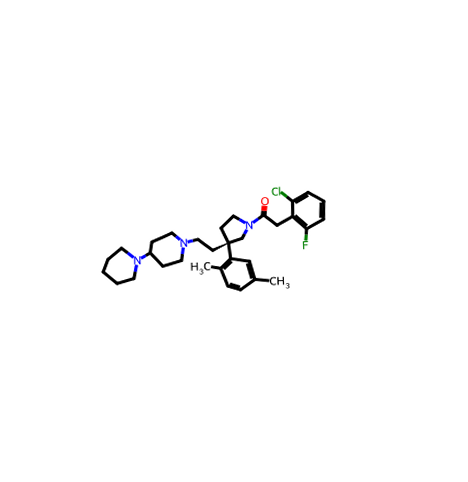 Cc1ccc(C)c([C@]2(CCN3CCC(N4CCCCC4)CC3)CCN(C(=O)Cc3c(F)cccc3Cl)C2)c1